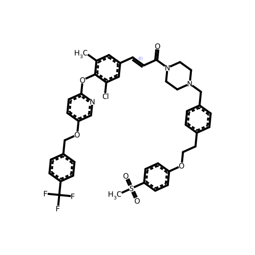 Cc1cc(/C=C/C(=O)N2CCN(Cc3ccc(CCOc4ccc(S(C)(=O)=O)cc4)cc3)CC2)cc(Cl)c1Oc1ccc(OCc2ccc(C(F)(F)F)cc2)cn1